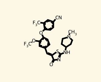 CN1CCC(NC2=NC(=O)/C(=C/c3ccc(Oc4ccc(C#N)cc4C(F)(F)F)c(OC(F)(F)F)c3)S2)CC1